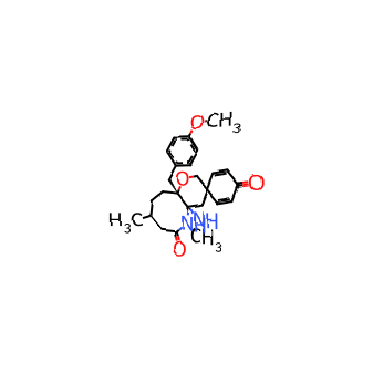 CN[C@]12CC3(C=CC(=O)C=C3)CO[C@@]1(Cc1ccc(OC)cc1)CCC(C)CC(=O)N2